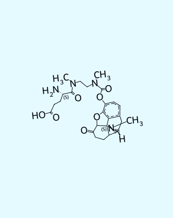 CN(CCN(C)C(=O)[C@@H](N)CCC(=O)O)C(=O)Oc1ccc2c3c1OC1C(=O)CCC4[C@@H](C2)N(C)C[C@]314